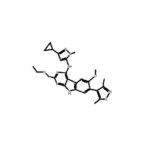 CCOCc1nc(Nc2cc(C3CC3)nn2C)c2c(n1)[nH]c1cc(-c3c(C)noc3C)c(OC)cc12